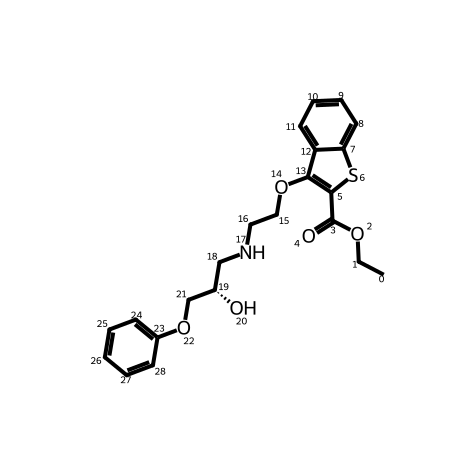 CCOC(=O)c1sc2ccccc2c1OCCNC[C@H](O)COc1ccccc1